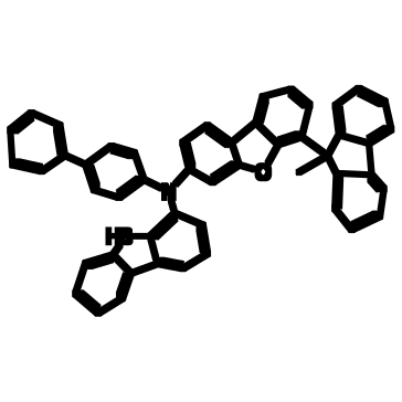 CC1(c2cccc3c2oc2cc(N(c4ccc(-c5ccccc5)cc4)c4cccc5c4Bc4ccccc4-5)ccc23)c2ccccc2-c2ccccc21